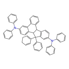 C1=CC(C2(c3ccccc3)c3cc(N(c4ccccc4)c4ccccc4)ccc3C3c4ccccc4-c4cc(N(c5ccccc5)c5ccccc5)ccc4C32)=CCC1